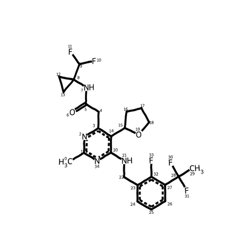 Cc1nc(CC(=O)NC2(C(F)F)CC2)c(C2CCCO2)c(NCc2cccc(C(C)(F)F)c2F)n1